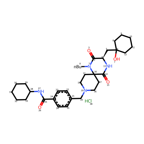 CCCCN1C(=O)[C@@H](CC2(O)CCCCC2)NC(=O)C12CCN(Cc1ccc(C(=O)NC3CCCCC3)cc1)CC2.Cl